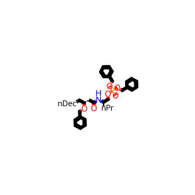 [CH2]CC[C@H](COP(=O)(OCc1ccccc1)OCc1ccccc1)NC(=O)C[C@@H](CCCCCCCCCCC)OCc1ccccc1